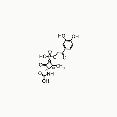 C[C@H]1[C@H](NC(=O)O)C(=O)N1P(=O)(O)OCC(=O)c1ccc(O)c(O)c1